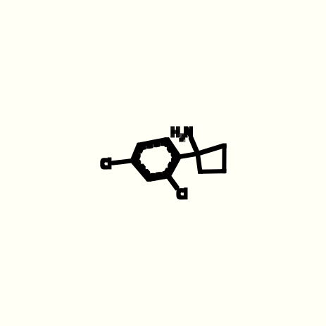 NC1(c2ccc(Cl)cc2Cl)CCC1